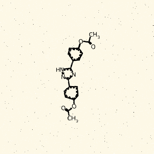 CC(=O)Oc1ccc(-c2n[nH]c(-c3ccc(OC(C)=O)cc3)n2)cc1